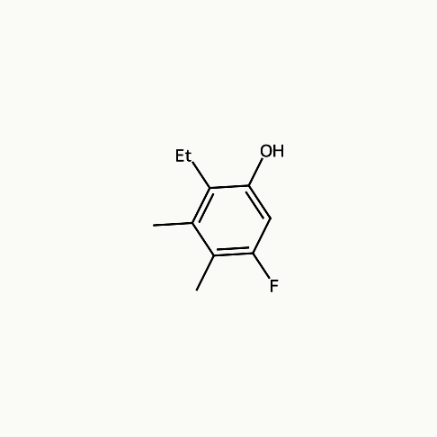 CCc1c(O)cc(F)c(C)c1C